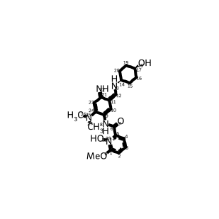 COc1cccc(C(=O)NC2=C/C(=C/N[C@H]3CC[C@H](O)CC3)C(=N)C=C2N(C)C)[n+]1O